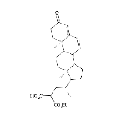 CCOC(=O)C(C[C@@H](C)C1CCC2C3C=CC4=CC(=O)CC[C@]4(C)C3CC[C@@]21C)C(=O)OCC